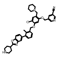 Cc1c(COc2cc(OCc3cncc(C#N)c3)c(CN3CCCCC3)cc2Cl)cccc1-c1ccc2oc(C3CCNCC3)nc2c1